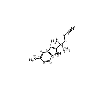 CC(C)(CCC#N)c1cc2cc(N)ccc2[nH]1